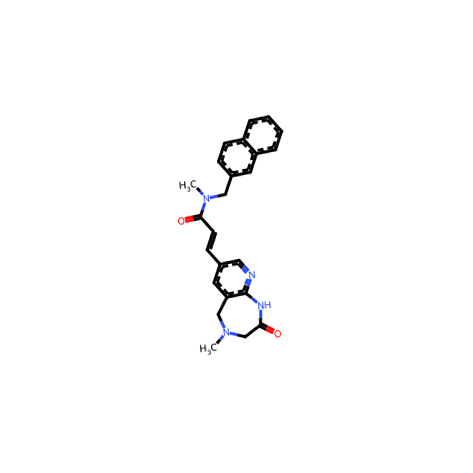 CN1CC(=O)Nc2ncc(C=CC(=O)N(C)Cc3ccc4ccccc4c3)cc2C1